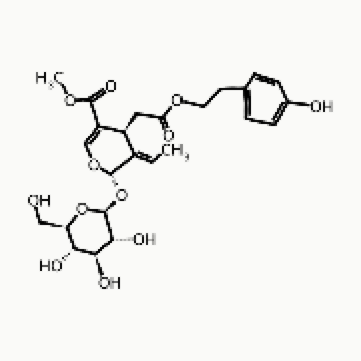 C/C=C1/[C@H](O[C@@H]2O[C@H](CO)[C@@H](O)[C@H](O)[C@H]2O)OC=C(C(=O)OC)[C@H]1CC(=O)OCCc1ccc(O)cc1